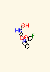 O=C(O[C@H]1C[C@@H](NCCO)C1)N1CCc2ccccc2[C@@H]1c1ccc(F)cc1